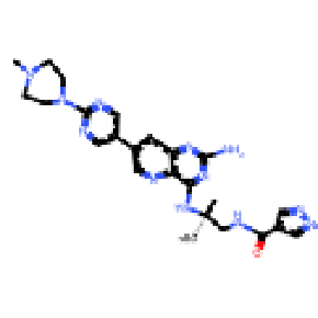 CCCC[C@](C)(CNC(=O)c1cnn(C)c1)Nc1nc(N)nc2cc(-c3cnc(N4CCN(C)CC4)nc3)cnc12